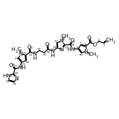 C=CCOC(=O)c1cc(NC(=O)c2nc(NC(=O)CCNC(=O)c3cc(NC(=O)c4ncc[nH]4)cn3C)cn2C)cn1C